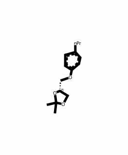 C[CH]Cc1ccc(OC[C@@H]2COC(C)(C)O2)cc1